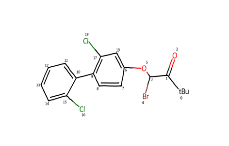 CC(C)(C)C(=O)C(Br)Oc1ccc(-c2ccccc2Cl)c(Cl)c1